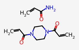 C=CC(=O)N1CCN(C(=O)C=C)CC1.C=CC(N)=O